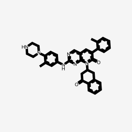 Cc1ccccc1-c1cc2cnc(Nc3ccc(N4CCNCC4)c(C)c3)nc2n(C2CC(=O)c3ccccc3C2)c1=O